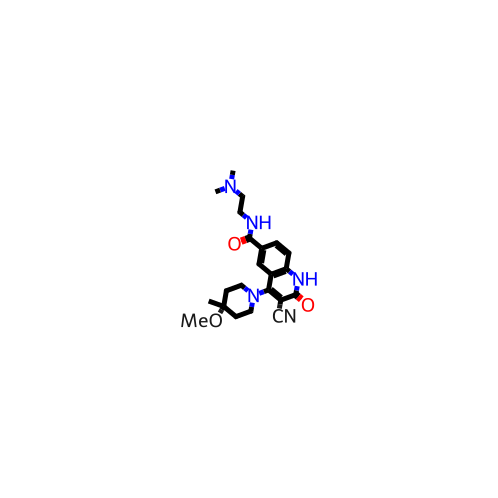 COC1(C)CCN(c2c(C#N)c(=O)[nH]c3ccc(C(=O)NCCN(C)C)cc23)CC1